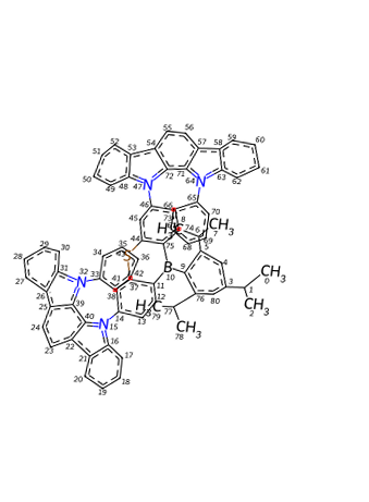 CC(C)c1cc(C(C)C)c(B2c3ccc(-n4c5ccccc5c5ccc6c7ccccc7n(-c7ccccc7)c6c54)cc3Sc3cc(-n4c5ccccc5c5ccc6c7ccccc7n(-c7ccccc7)c6c54)ccc32)c(C(C)C)c1